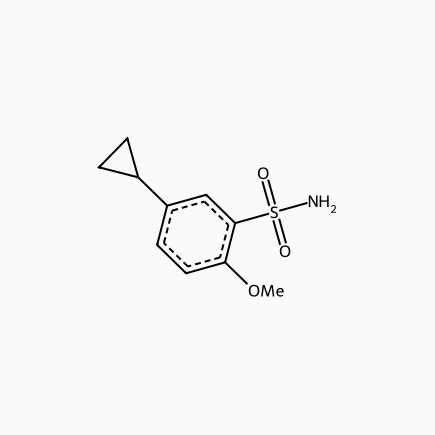 COc1ccc(C2CC2)cc1S(N)(=O)=O